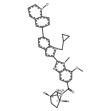 COc1cc(C(=O)N2C[C@H]3CC[C@@H]2[C@@H]3N)cc2nc(-c3cc4ccc(-c5ccc6c(ccc[n+]6[O-])c5)cc4n3CC3CC3)n(C)c12